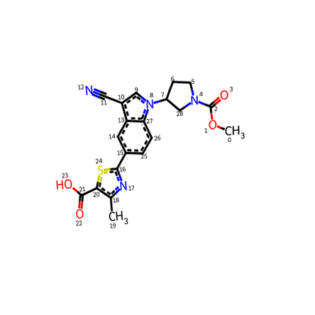 COC(=O)N1CCC(n2cc(C#N)c3cc(-c4nc(C)c(C(=O)O)s4)ccc32)C1